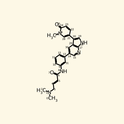 CN(C)CC=CC(=O)Nc1cccc(-c2cnc3[nH]cc(-c4ccc(=O)n(C)c4)c3c2)c1